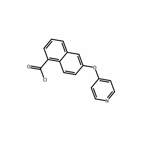 O=C(Cl)c1cccc2cc(Oc3ccncc3)ccc12